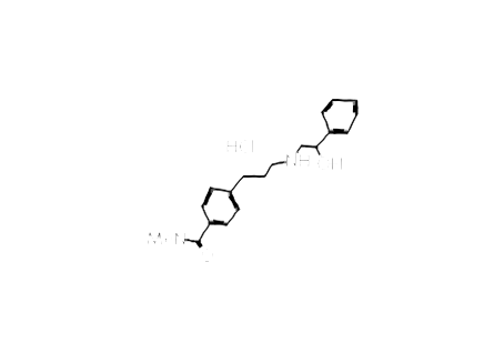 CNC(=O)c1ccc(CCCNCC(O)c2ccccc2)cc1.Cl